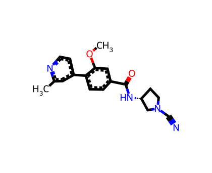 COc1cc(C(=O)N[C@@H]2CCN(C#N)C2)ccc1-c1ccnc(C)c1